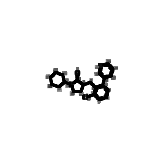 O=C1C(Cc2c(Cl)cccc2-c2cccnc2)CCN1C1CCCCC1